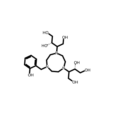 OCC([C@H](O)CO)N1CCN(Cc2ccccc2O)CCN(C(CO)[C@H](O)CO)CC1